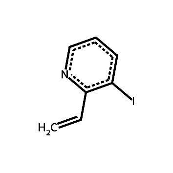 C=Cc1ncccc1I